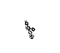 c1ccc(-c2cc(-c3ccncc3)nnc2N2CCN(c3ncccn3)CC2)cc1